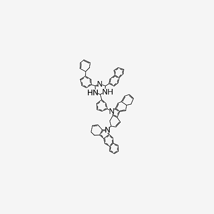 C1=CCC2C=c3c4c(n(-c5cccc(C6NC(c7cccc(C8C=CC=CC8)c7)=NC(c7ccc8ccccc8c7)N6)c5)c3=CC2=C1)CC(n1c2c(c3cc5ccccc5cc31)CCC=C2)C=C4